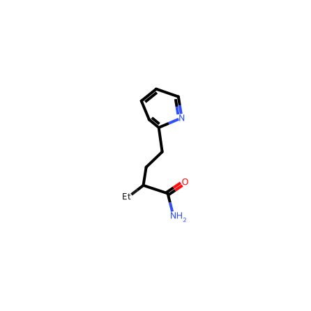 CCC(CCc1ccccn1)C(N)=O